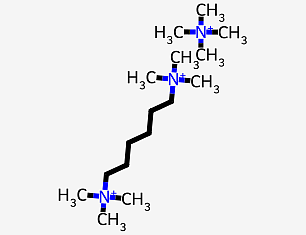 C[N+](C)(C)C.C[N+](C)(C)CCCCCC[N+](C)(C)C